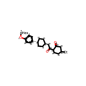 CCCCCCOc1ccc([C@H]2CC[C@H](CC(=O)C3CCC(CC)CC3=O)CC2)cc1